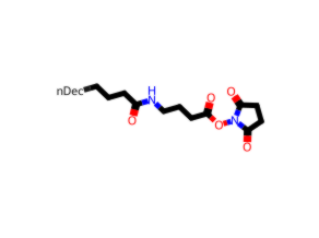 CCCCCCCCCCCCCC(=O)NCCCC(=O)ON1C(=O)CCC1=O